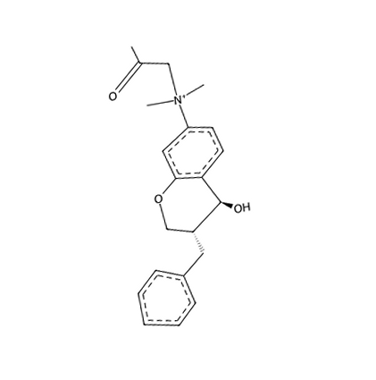 CC(=O)C[N+](C)(C)c1ccc2c(c1)OC[C@@H](Cc1ccccc1)[C@@H]2O